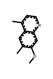 COc1cc2nccc(C)c2cc1C